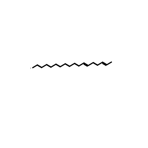 [CH2]CCCCCCCCCCC=CCCC=CC